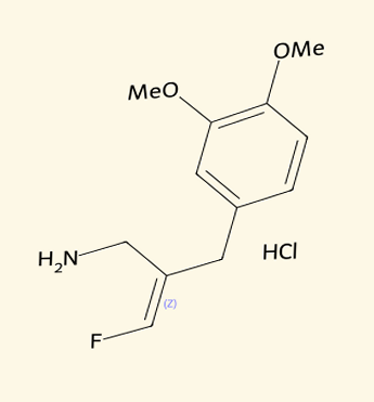 COc1ccc(C/C(=C/F)CN)cc1OC.Cl